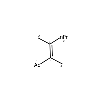 CCCC(C)=C(C)C(C)=O